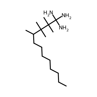 CCCCCCCCC(C)C(C)(C)C(C)(C)C(N)(N)N